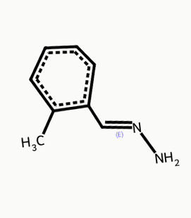 Cc1ccccc1/C=N/N